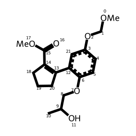 COCOc1ccc(OCC(C)O)c(C2=C(C(=O)OC)CCC2)c1